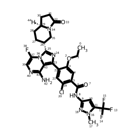 CCOc1cc(C(=O)Nc2cc(C(F)(F)F)n(C)n2)c(Cl)cc1-c1nc([C@@H]2CC[C@H]3CCC(=O)N3C2)n2c(F)cnc(N)c12